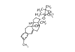 Cc1ccc2c(c1)C=C1CC[C@]3(C)[C@@H](O[Si](C)(C)C(C)(C)C)CC[C@H]3[C@@]1(O)CC2